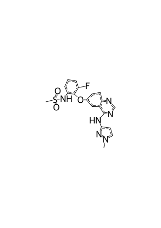 Cn1ccc(Nc2ncnc3ccc(Oc4c(F)cccc4NS(C)(=O)=O)cc23)n1